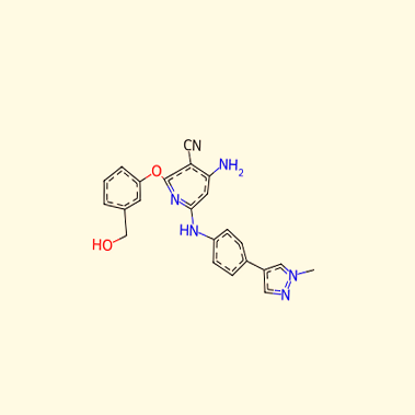 Cn1cc(-c2ccc(Nc3cc(N)c(C#N)c(Oc4cccc(CO)c4)n3)cc2)cn1